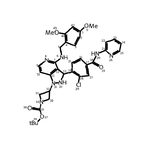 COc1ccc(CNc2nccc3c2C(c2ccc(C(=O)Nc4ccccn4)cc2Cl)NN3C2CN(C(=O)OC(C)(C)C)C2)c(OC)c1